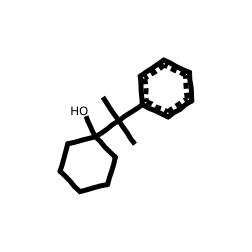 CC(C)(c1ccccc1)C1(O)CCCCC1